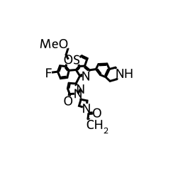 C=CC(=O)N1CC(n2nc(-c3nc(-c4ccc5c(c4)CCNC5)c4ccsc4c3-c3ccc(F)cc3OCCOC)ccc2=O)C1